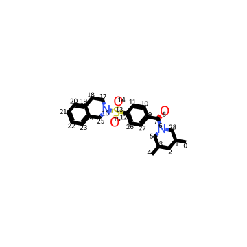 CC1CC(C)CN(C(=O)c2ccc(S(=O)(=O)N3CCc4ccccc4C3)cc2)C1